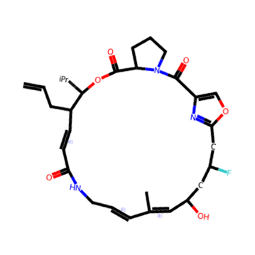 C=CCC1/C=C/C(=O)NC/C=C/C(C)=C/C(O)CC(F)Cc2nc(co2)C(=O)N2CCCC2C(=O)OC1C(C)C